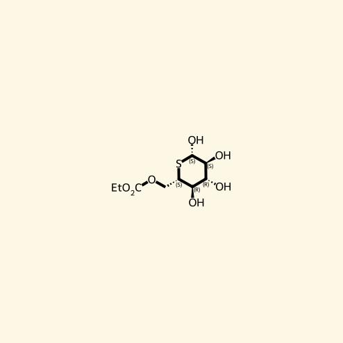 CCOC(=O)OC[C@@H]1S[C@H](O)[C@@H](O)[C@H](O)[C@H]1O